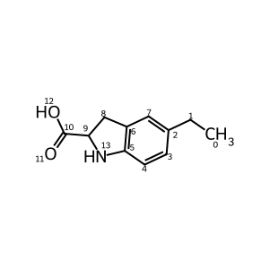 CCc1ccc2c(c1)CC(C(=O)O)N2